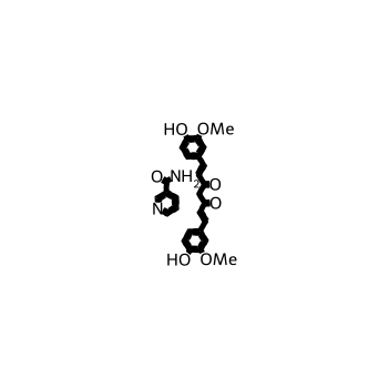 COc1cc(C=CC(=O)CC(=O)C=Cc2ccc(O)c(OC)c2)ccc1O.NC(=O)c1cccnc1